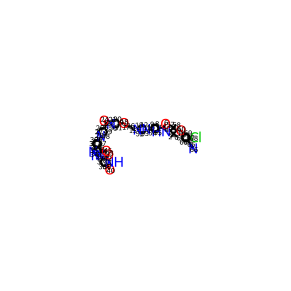 CC1(C)[C@H](NC(=O)c2ccc(N3CCN(CCCOC4CCN(C(=O)C5CCN(c6ccc7nnn(C8CCC(=O)NC8=O)c(=O)c7c6)CC5)CC4)CC3)cc2)C(C)(C)[C@H]1Oc1ccc(C#N)c(Cl)c1